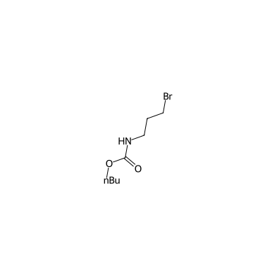 CCCCOC(=O)NCCCBr